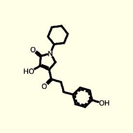 O=C(CCc1ccc(O)cc1)C1=C(O)C(=O)N(C2CCCCC2)C1